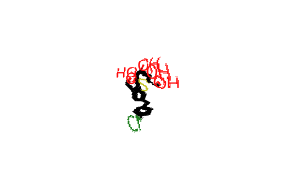 OC[C@H]1S[C@]2(OCc3ccc(Cc4ccc(Cl)cc4)cc32)[C@H](O)[C@@H](O)[C@@H]1O